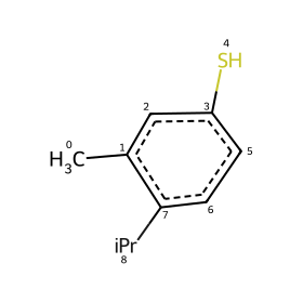 Cc1cc(S)ccc1C(C)C